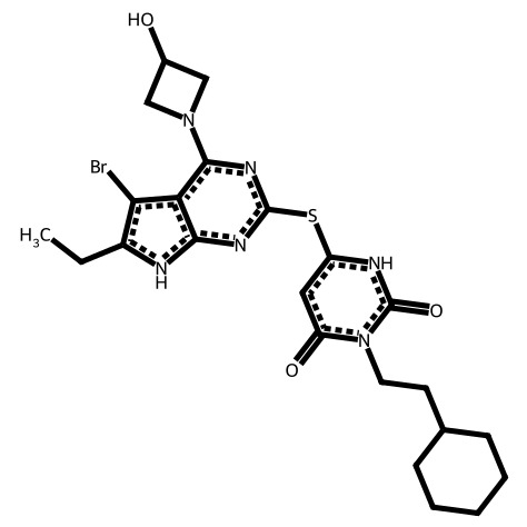 CCc1[nH]c2nc(Sc3cc(=O)n(CCC4CCCCC4)c(=O)[nH]3)nc(N3CC(O)C3)c2c1Br